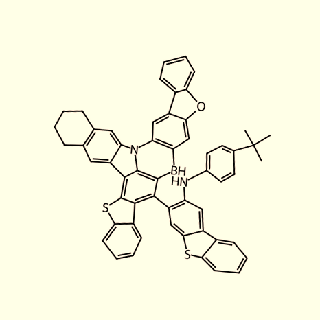 CC(C)(C)c1ccc(Nc2cc3c(cc2-c2c4c5c(c6cc7c(cc6n5-c5cc6c(cc5B4)oc4ccccc46)CCCC7)c4sc5ccccc5c24)sc2ccccc23)cc1